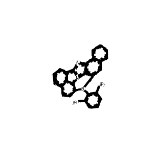 CC(C)c1cccc(C(C)C)c1B1c2cc3ccccc3c3nc4c5cccc6ccc1c(c65)n4c23